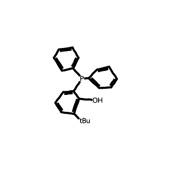 CC(C)(C)c1cccc(P(c2ccccc2)c2ccccc2)c1O